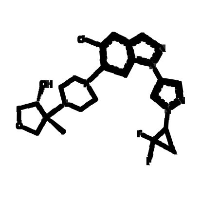 C[C@@]1(N2CCN(c3cc4c(cnn4-c4cnn(C5CC5(F)F)c4)cc3Cl)CC2)COC[C@@H]1O